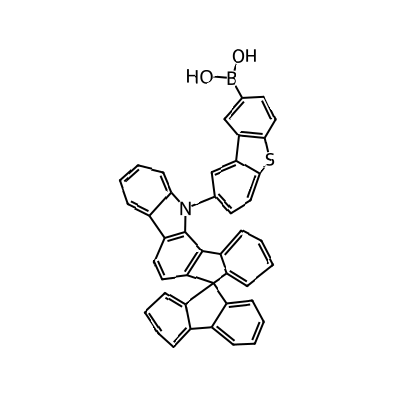 OB(O)c1ccc2sc3ccc(-n4c5ccccc5c5ccc6c(c54)-c4ccccc4C64c5ccccc5-c5ccccc54)cc3c2c1